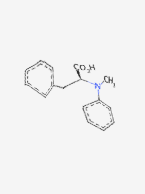 CN(c1ccccc1)[C@@H](Cc1ccccc1)C(=O)O